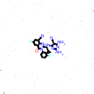 N#Cc1c(N)nc(N)nc1NC(c1nc2c(C#N)cc(F)cc2c(=O)n1-c1cccc(F)c1)C1CC1